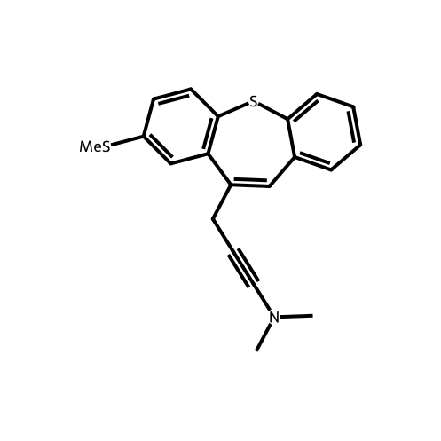 CSc1ccc2c(c1)C(CC#CN(C)C)=Cc1ccccc1S2